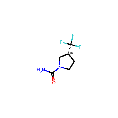 NC(=O)N1CC[C@@H](C(F)(F)F)C1